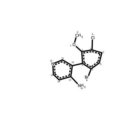 COc1c(Cl)ccc(Br)c1-c1cnccc1N